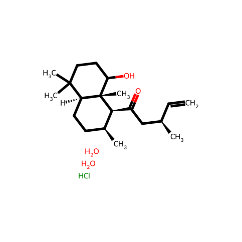 C=C[C@@H](C)CC(=O)[C@H]1[C@@H](C)CC[C@H]2C(C)(C)CCC(O)[C@]12C.Cl.O.O